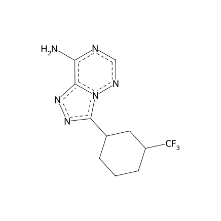 Nc1ncnn2c(C3CCCC(C(F)(F)F)C3)nnc12